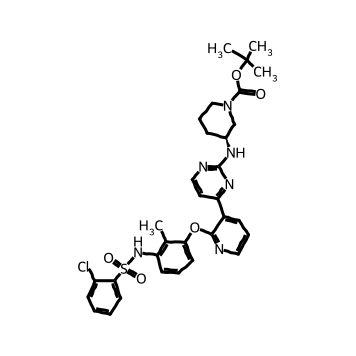 Cc1c(NS(=O)(=O)c2ccccc2Cl)cccc1Oc1ncccc1-c1ccnc(N[C@H]2CCCN(C(=O)OC(C)(C)C)C2)n1